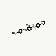 CCOC(=O)c1ccc(/N=N/c2ccc(NNc3ccc(N4CCCC4)cc3)c(C)c2)cc1